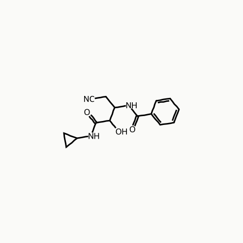 N#CCC(NC(=O)c1ccccc1)C(O)C(=O)NC1CC1